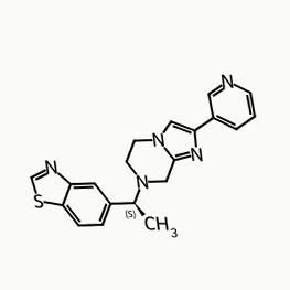 C[C@@H](c1ccc2scnc2c1)N1CCn2cc(-c3cccnc3)nc2C1